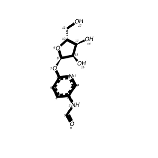 O=CNc1ccc(O[C@H]2O[C@H](CO)[C@@H](O)[C@H]2O)nc1